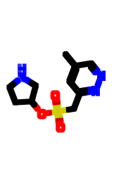 Cc1cnnc(CS(=O)(=O)OC2CCNC2)c1